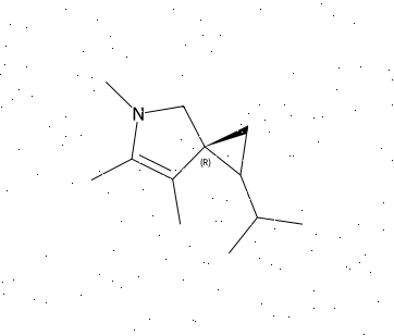 CC1=C(C)[C@]2(CC2C(C)C)CN1C